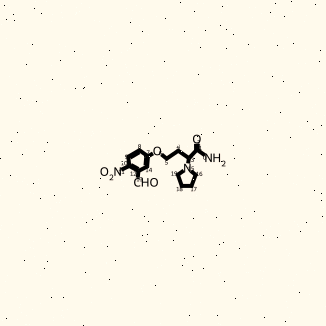 NC(=O)C(CCOc1ccc([N+](=O)[O-])c(C=O)c1)N1CCCC1